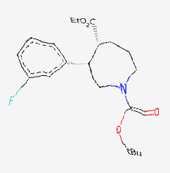 CCOC(=O)[C@@H]1CCN(C(=O)OC(C)(C)C)C[C@@H]1c1cccc(F)c1